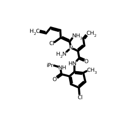 C=C/C=C\C(Cl)=C(/N)N(N)/C(=C\C=C)C(=O)Nc1c(C)cc(Cl)cc1C(=O)NC(C)C